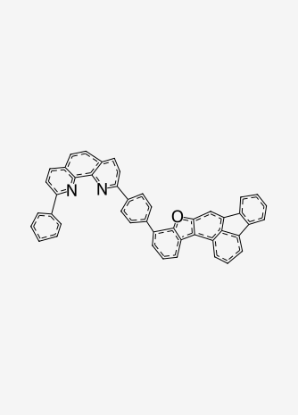 c1ccc(-c2ccc3ccc4ccc(-c5ccc(-c6cccc7c6oc6cc8c9c(cccc9c67)-c6ccccc6-8)cc5)nc4c3n2)cc1